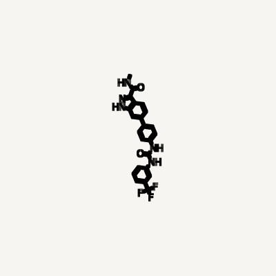 CNC(=O)c1n[nH]c2cc(-c3ccc(NC(=O)Nc4cccc(C(F)(F)F)c4)cc3)ccc12